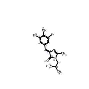 CC1=N/C(=C\c2cc(F)c(O)c(Br)c2)C(=O)N1CC(C)C